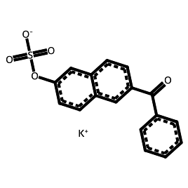 O=C(c1ccccc1)c1ccc2cc(OS(=O)(=O)[O-])ccc2c1.[K+]